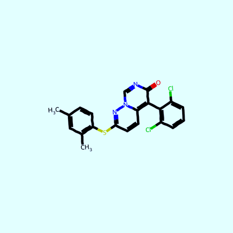 Cc1ccc(Sc2ccc3c(-c4c(Cl)cccc4Cl)c(=O)ncn3n2)c(C)c1